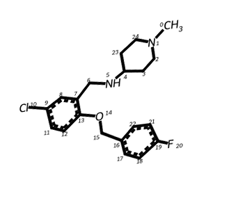 CN1CCC(NCc2cc(Cl)ccc2OCc2ccc(F)cc2)CC1